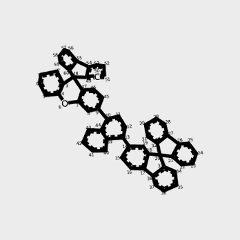 c1ccc2c(c1)Oc1cc(-c3ccc(-c4ccc5c(c4)C4(c6ccccc6-c6ccccc64)c4ccccc4-5)c4ccccc34)ccc1C21c2ccccc2-c2ccccc21